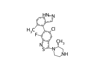 Cc1ccc2[nH]ncc2c1-c1c(Cl)cc2c(N3CCNC[C@@H]3C)snc2c1F